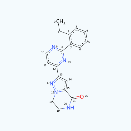 CCc1ccccc1-c1nccc(-c2cc3n(n2)CCNC3=O)n1